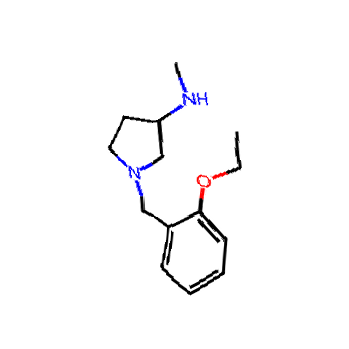 CCOc1ccccc1CN1CCC(NC)C1